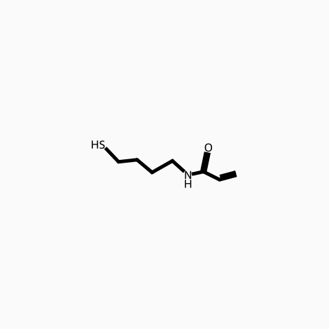 C=CC(=O)NCCCCS